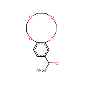 CCCCCCCCCC(=O)c1ccc2c(c1)OCCOCCOCCO2